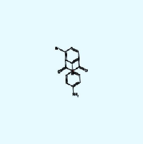 Nc1ccc(-c2c3ccc(Br)c2C(=O)NC3=O)cc1